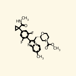 CNC(=O)C1(c2cc(F)c(-c3nc4cc(C)ccn4c3C[C@H]3CN(C(=O)OC)CCO3)c(F)c2)CC1